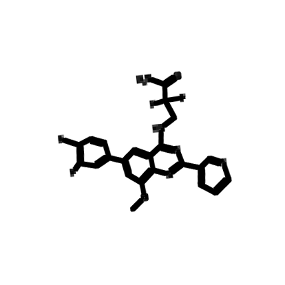 COc1cc(-c2ccc(F)c(F)c2)cc2c(NCC(F)(F)C(N)=O)nc(-c3cccnc3)nc12